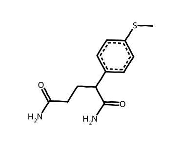 CSc1ccc(C(CCC(N)=O)C(N)=O)cc1